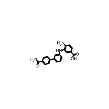 NC(=O)c1ccc(-c2cccc(Nc3cc(C(=O)O)ccc3N)c2)cc1